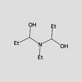 CCC(O)N(CC)C(O)CC